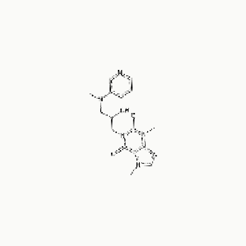 CN(CC(O)Cn1c(=O)c2c(ncn2C)n(C)c1=O)c1cccnc1